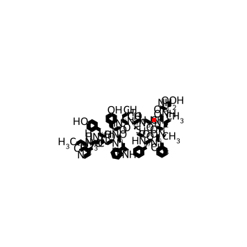 CCCC[C@@H](C(=O)N(C)CC(=O)N[C@@H](CC(=O)O)C(N)=O)N(C)C(=O)[C@H](Cc1ccccc1)N(C)C(=O)[C@H](Cc1ccccc1)NC(=O)CSC[C@H](NC(=O)[C@H](CC(C)C)NC(=O)[C@H](Cc1ccc(O)cc1)NC(=O)[C@H](Cc1c[nH]c2ccccc12)NC(=O)CN(C)C(=O)[C@H](Cc1ccc(O)cc1)NC(=O)[C@H](Cc1ccncc1)NC(=O)CC(C)C)C(=O)NCC(N)=O